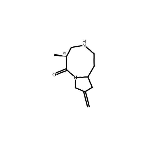 C=C1CC2CCNC[C@H](C)C(=O)N2C1